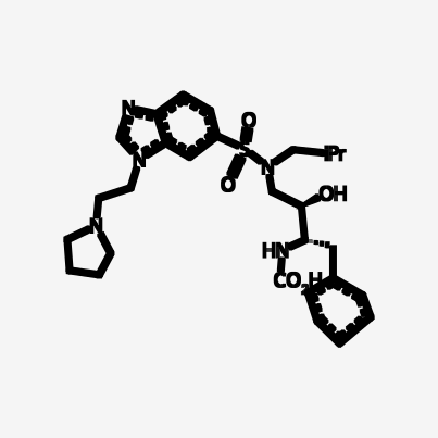 CC(C)CN(C[C@@H](O)[C@H](Cc1ccccc1)NC(=O)O)S(=O)(=O)c1ccc2ncn(CCN3CCCC3)c2c1